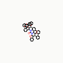 O=C1N2C3=C(B(c4ccccc4-c4ccccc4)c4ccc5ccc6c(c5c42)N1c1oc2ccccc2c1B6c1ccccc1-c1ccccc1)C1(c2ccccc23)c2ccccc2-c2ccccc21